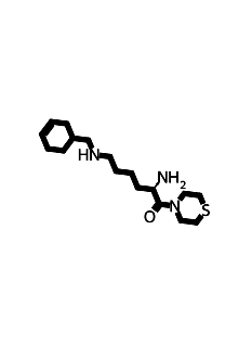 N[C@@H](CCCCNCC1CC=CCC1)C(=O)N1CCSCC1